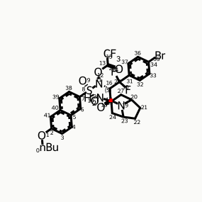 CCCCOc1ccc2cc(S(=O)(=O)N(OC(=O)C(F)(F)F)[C@@H](C(=O)N3C4CCC3CC(N)C4)C(F)(F)c3ccc(Br)cc3)ccc2c1